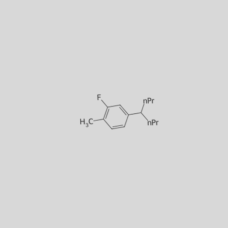 CCCC(CCC)c1ccc(C)c(F)c1